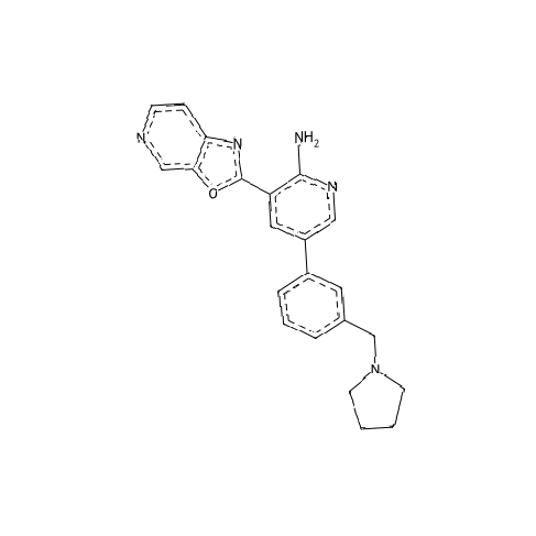 Nc1ncc(-c2cccc(CN3CCCC3)c2)cc1-c1nc2ccncc2o1